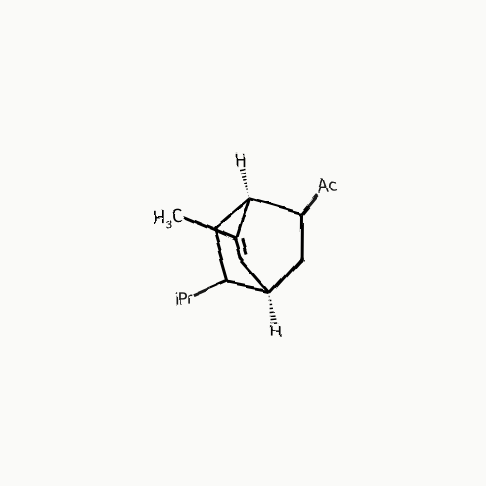 CC(=O)C1C[C@@H]2C=C(C)[C@H]1CC2C(C)C